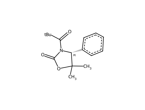 CC(C)(C)C(=O)N1C(=O)OC(C)(C)[C@H]1c1ccccc1